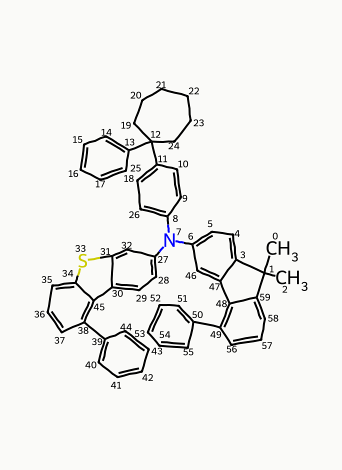 CC1(C)c2ccc(N(c3ccc(C4(c5ccccc5)CCCCCC4)cc3)c3ccc4c(c3)sc3cccc(-c5ccccc5)c34)cc2-c2c(-c3ccccc3)cccc21